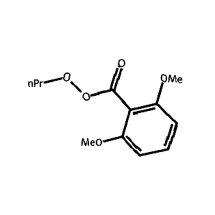 [CH2]CCOOC(=O)c1c(OC)cccc1OC